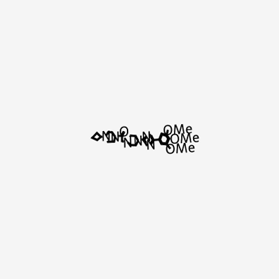 COc1cc(-c2cnc(N3CCN(CC(=O)N4CCN(C5CCC5)CC4)CC3)cn2)cc(OC)c1OC